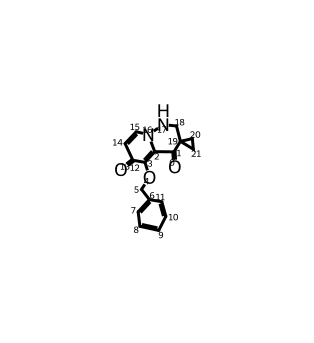 O=C1c2c(OCc3ccccc3)c(=O)ccn2NCC12CC2